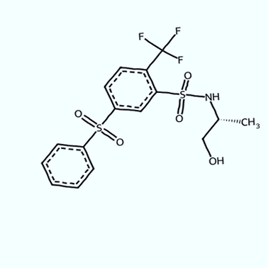 C[C@H](CO)NS(=O)(=O)c1cc(S(=O)(=O)c2ccccc2)ccc1C(F)(F)F